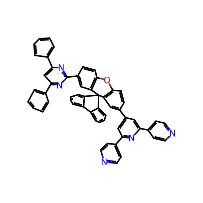 c1ccc(-c2cc(-c3ccccc3)nc(-c3ccc4c(c3)C3(c5cc(-c6cc(-c7ccncc7)nc(-c7ccncc7)c6)ccc5O4)c4ccccc4-c4ccccc43)n2)cc1